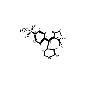 CS(=O)(=O)c1ccc(C(=C2CCOC2=O)C2CCCCC2)cc1